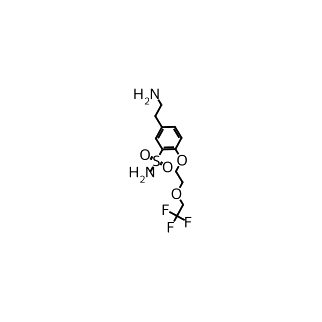 NCCc1ccc(OCCOCC(F)(F)F)c(S(N)(=O)=O)c1